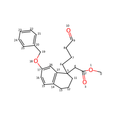 COC(=O)CC1(CCCC=O)CCCc2ccc(OCc3ccccc3)cc21